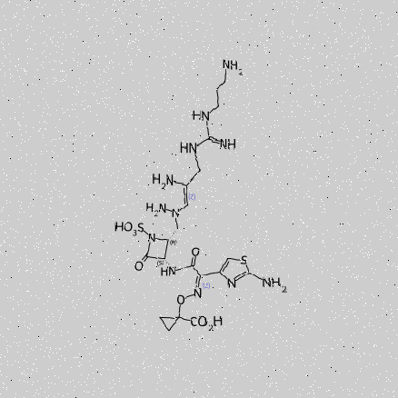 N=C(NCCCN)NC/C(N)=C/N(N)C[C@@H]1[C@H](NC(=O)/C(=N\OC2(C(=O)O)CC2)c2csc(N)n2)C(=O)N1S(=O)(=O)O